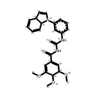 COC1=CC(C(=O)NC(=S)Nc2cccc(N3C=CC4C=CC=CC43)c2)=CC(OC)C1OC